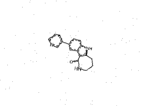 O=C1NCCCc2[nH]c3ccc(-c4cccnc4)cc3c21